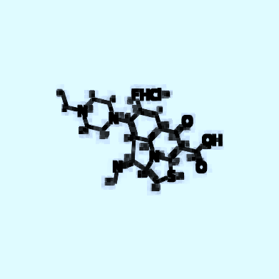 CCN1CCN(c2c(F)cc3c(=O)c(C(=O)O)c4scc5c(=NC)c2c3n45)CC1.Cl